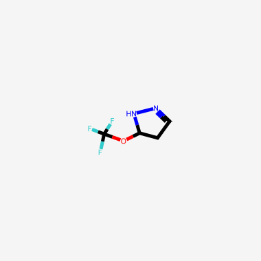 FC(F)(F)OC1C[C]=NN1